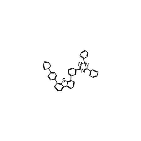 C1=CCC(c2ccc(-c3cccc4c3sc3c(-c5cccc(-c6nc(-c7ccccc7)nc(-c7ccccc7)n6)c5)cccc34)cc2)C=C1